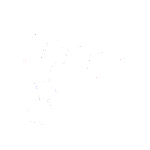 COCC(C=O)Cc1cc(-n2nc3ccccc3n2)c(O)c(C(C)(C)C)c1